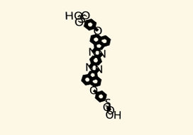 O=S(=O)(O)c1ccc(Oc2ccc3c4c(cccc24)-c2nc4cc5nc6c(nc5cc4nc2-3)-c2cccc3c(Oc4ccc(SOOO)cc4)ccc-6c23)cc1